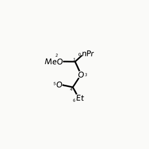 CCCC(OC)OC([O])CC